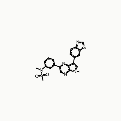 CN(c1cccc(-c2cnc3[nH]cc(-c4ccc5ncsc5c4)c3n2)c1)S(C)(=O)=O